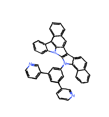 c1cncc(-c2cc(-c3cccnc3)cc(-n3c4c5ccccc5ccc4c4c5cc6ccccc6c6c7ccccc7n(c56)c43)c2)c1